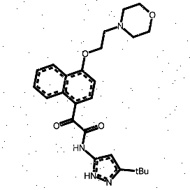 CC(C)(C)c1cc(NC(=O)C(=O)c2ccc(OCCN3CCOCC3)c3ccccc23)[nH]n1